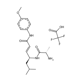 COc1ccc(NC(=O)C=C[C@H](CC(C)C)NC(=O)[C@H](C)N)cc1.O=C(O)C(F)(F)F